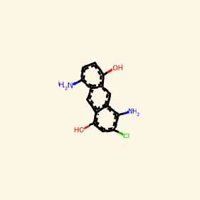 Nc1ccc(O)c2cc3c(N)c(Cl)cc(O)c3cc12